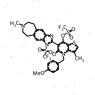 COc1ccc(Cn2c(=O)c(-c3nc4cc5c(cc4n3S(=O)(=O)C(F)(F)F)CCN(C)CC5)c(OS(=O)(=O)C(F)(F)F)c3scc(C)c32)cc1